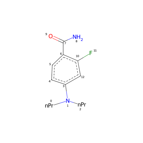 CCCN(CCC)c1ccc(C(N)=O)c(F)c1